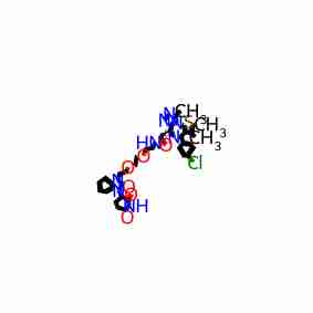 Cc1sc2c(c1C)C(c1ccc(Cl)cc1)=N[C@@H](CC(=O)NCCOCCOCCn1c(=O)n(C3CCC(=O)NC3=O)c3ccccc31)c1nnc(C)n1-2